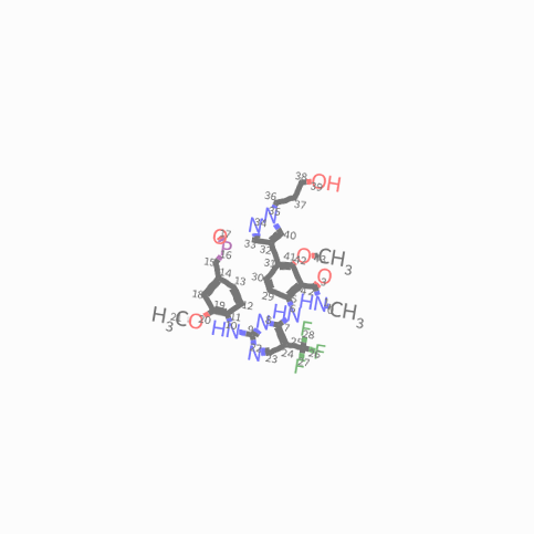 CNC(=O)c1c(Nc2nc(Nc3ccc(CP=O)cc3OC)ncc2C(F)(F)F)ccc(-c2cnn(CCCO)c2)c1OC